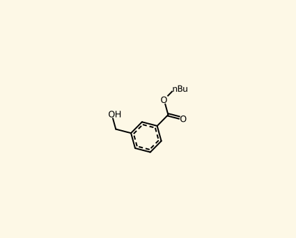 CCCCOC(=O)c1cccc(CO)c1